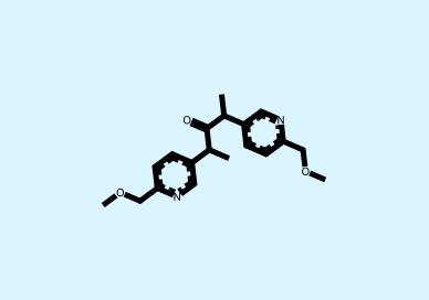 COCc1ccc(C(C)C(=O)C(C)c2ccc(COC)nc2)cn1